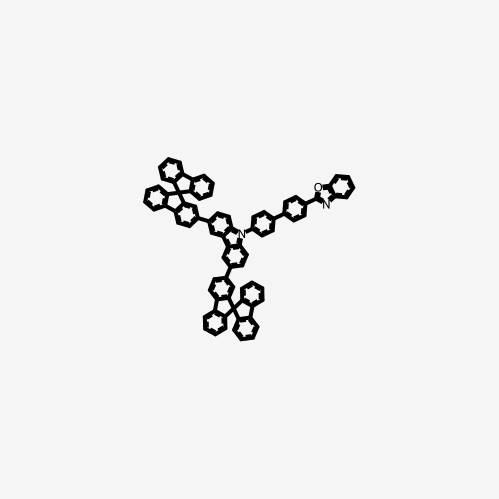 c1ccc2c(c1)-c1ccccc1C21c2ccccc2-c2ccc(-c3ccc4c(c3)c3cc(-c5ccc6c(c5)C5(c7ccccc7-c7ccccc75)c5ccccc5-6)ccc3n4-c3ccc(-c4ccc(-c5nc6ccccc6o5)cc4)cc3)cc21